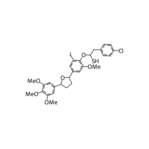 COc1cc(C2CCC(c3cc(OC)c(OC)c(OC)c3)O2)cc(I)c1OC(S)Cc1ccc(Cl)cc1